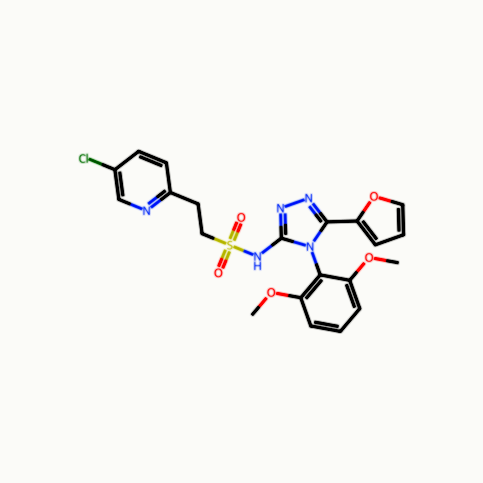 COc1cccc(OC)c1-n1c(NS(=O)(=O)CCc2ccc(Cl)cn2)nnc1-c1ccco1